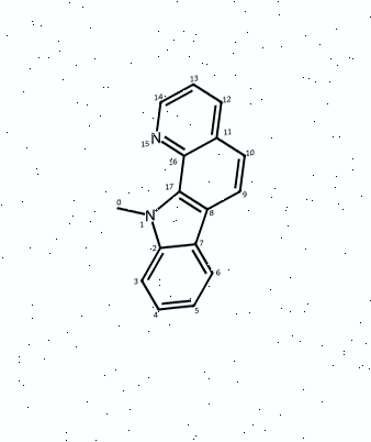 Cn1c2ccccc2c2ccc3cccnc3c21